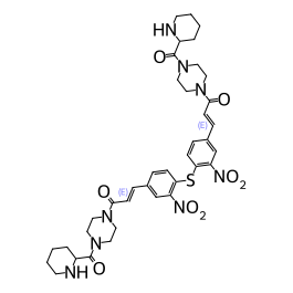 O=C(/C=C/c1ccc(Sc2ccc(/C=C/C(=O)N3CCN(C(=O)C4CCCCN4)CC3)cc2[N+](=O)[O-])c([N+](=O)[O-])c1)N1CCN(C(=O)C2CCCCN2)CC1